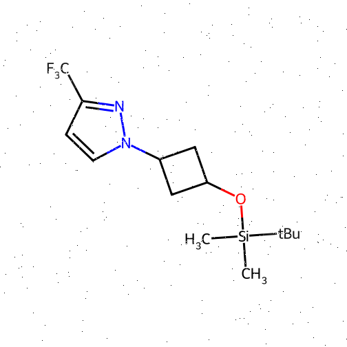 CC(C)(C)[Si](C)(C)OC1CC(n2ccc(C(F)(F)F)n2)C1